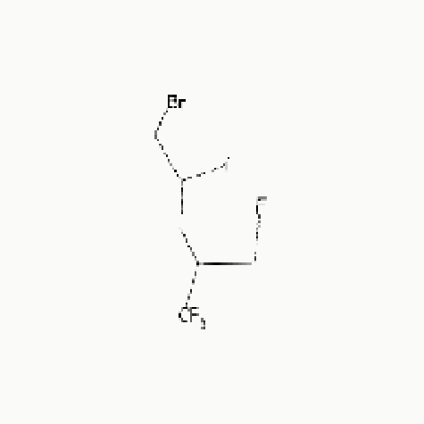 FCC(CC(I)CBr)C(F)(F)F